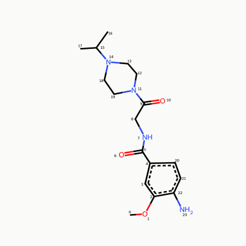 COc1cc(C(=O)NCC(=O)N2CCN(C(C)C)CC2)ccc1N